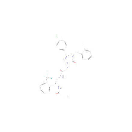 O=C(O)NC(CNC(=O)Cn1nc(-c2ccc(Cl)cc2)n(Cc2ccccc2F)c1=O)c1ccccc1C(F)(F)F